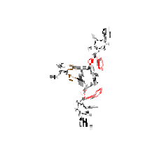 [C-]#[N+]C(C#N)=C1Sc2c(OC(=O)c3ccc(C)cc3)ccc(OC(=O)c3ccc(C)cc3)c2S1